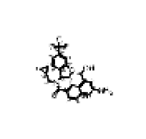 Nc1cc(CO)c2cc(C(=O)N(CC3CC3)C3COc4cc(C(F)(F)F)ccc43)ccc2n1